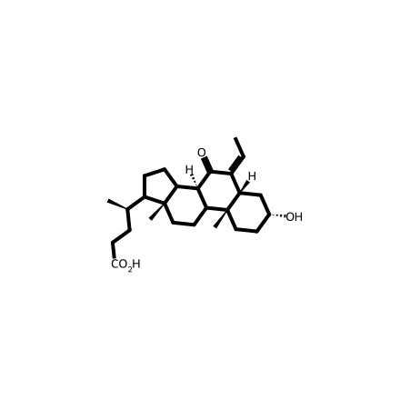 C/C=C1\C(=O)[C@@H]2C3CCC([C@H](C)CCC(=O)O)[C@@]3(C)CCC2[C@@]2(C)CC[C@@H](O)C[C@@H]12